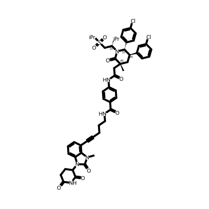 CC(C)[C@@H](CS(=O)(=O)C(C)C)N1C(=O)[C@@](C)(CC(=O)Nc2ccc(C(=O)NCCCC#Cc3cccc4c3n(C)c(=O)n4C3CCC(=O)NC3=O)cc2)C[C@H](c2cccc(Cl)c2)[C@H]1c1ccc(Cl)cc1